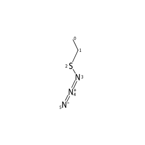 CCSN=[N+]=[N-]